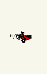 CS(=O)(=O)NC(=O)c1ccc(NC(=O)N2C3CCC2CC(OCc2c(-c4ccccc4OC(F)(F)F)noc2C2CC2)C3)cc1